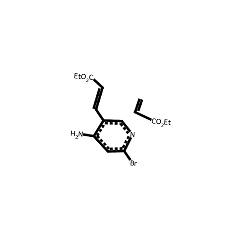 C=CC(=O)OCC.CCOC(=O)C=Cc1cnc(Br)cc1N